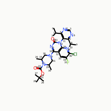 CC(C)c1ncnc(C(C)C)c1-n1c(=O)nc(N2CC(C)N(C(=O)OC(C)(C)C)C(C)C2)c2cc(F)c(Cl)nc21